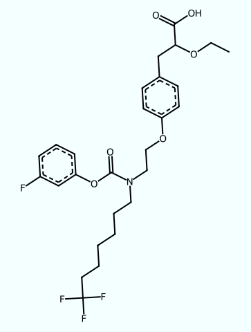 CCOC(Cc1ccc(OCCN(CCCCCCC(F)(F)F)C(=O)Oc2cccc(F)c2)cc1)C(=O)O